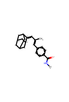 CCNC(=O)c1ccc(C=C(C)C=C2C3CC4CC(C3)CC2C4)cc1